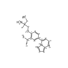 CC(C)CC(C)(N)COc1ccc(-c2ccnc3ccnn23)cc1C(F)F